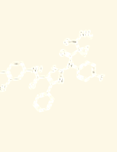 NC(=O)C1(C(=O)N(c2ccc(F)cc2)c2nc(-c3ccccc3)c(C(=O)Nc3ccc(Cl)c(Cl)c3)s2)CC1